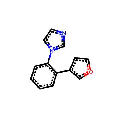 c1ccc(-n2ccnc2)c(-c2ccoc2)c1